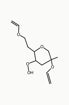 C=COCCC1OCC(C)(OC=C)CC1OO